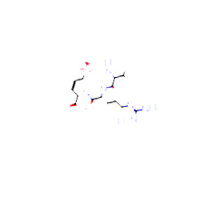 CC(C)C(N)C(=O)N[C@@H](CCCN=C(N)N)C(=O)N[C@@H](/C=C\CP(=O)(O)O)C(=O)O